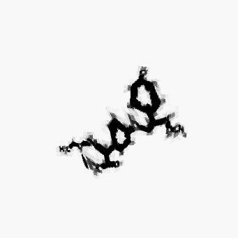 CCO/N=C(\C(C)=O)c1ccc(OC/C(=N\OC)c2ccc(Cl)cc2)cc1